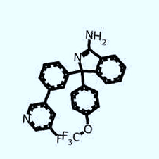 NC1=NC(c2ccc(OC(F)(F)F)cc2)(c2cccc(-c3cncc(F)c3)c2)c2ccccc21